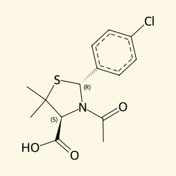 CC(=O)N1[C@@H](c2ccc(Cl)cc2)SC(C)(C)[C@@H]1C(=O)O